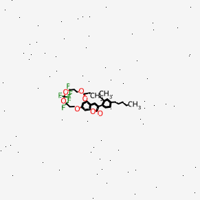 C=CC(=O)OCCC(F)(F)OC(F)(F)OC(F)(F)CCOc1ccc2cc(-c3ccc(CCCCC)cc3CC)c(=O)oc2c1